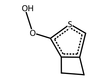 OOc1scc2c1CC2